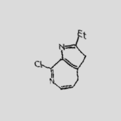 CCC1=NC2=C(CC=CN=C2Cl)C1